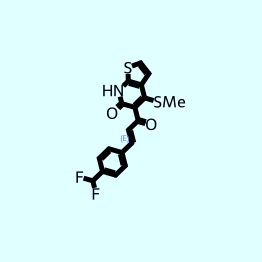 CSc1c(C(=O)/C=C/c2ccc(C(F)F)cc2)c(=O)[nH]c2sccc12